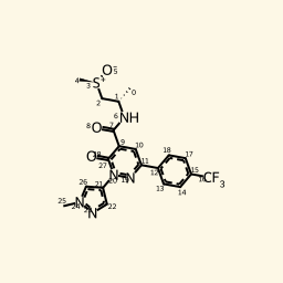 C[C@@H](C[S@@+](C)[O-])NC(=O)c1cc(-c2ccc(C(F)(F)F)cc2)nn(-c2cnn(C)c2)c1=O